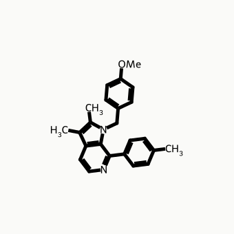 COc1ccc(Cn2c(C)c(C)c3ccnc(-c4ccc(C)cc4)c32)cc1